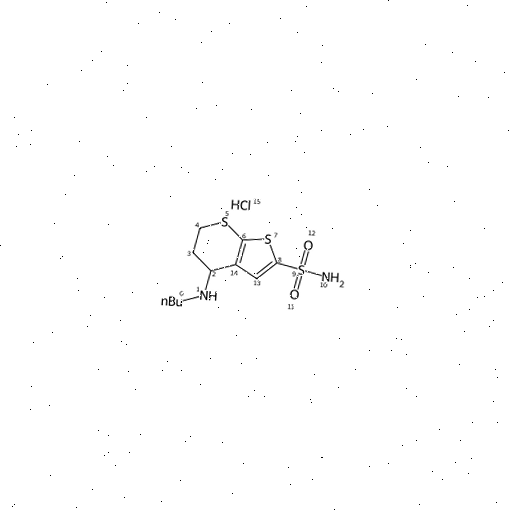 CCCCNC1CCSc2sc(S(N)(=O)=O)cc21.Cl